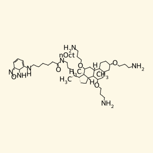 CCCCCCCCN(CCC[C@@H](C)[C@H]1CC[C@H]2C3[C@H](OCCCN)CC4C[C@H](OCCCN)CC[C@]4(C)[C@H]3C[C@H](OCCCN)[C@]12C)C(=O)CCCCCNC1=CC=CC2=NONC12